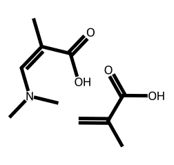 C=C(C)C(=O)O.CC(=CN(C)C)C(=O)O